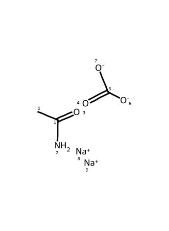 CC(N)=O.O=C([O-])[O-].[Na+].[Na+]